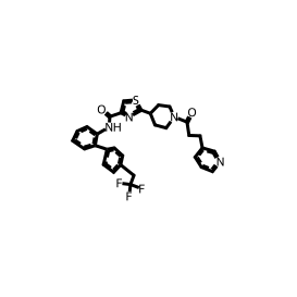 O=C(Nc1ccccc1-c1ccc(CC(F)(F)F)cc1)c1csc(C2CCN(C(=O)CCc3cccnc3)CC2)n1